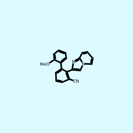 COc1ccccc1-c1cccc(C#N)c1-c1cn2ccccc2n1